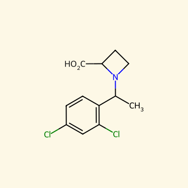 CC(c1ccc(Cl)cc1Cl)N1CCC1C(=O)O